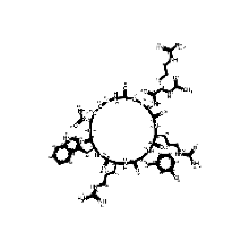 CC(=O)N[C@@H](CCCNC(=N)N)C(=O)N[C@H]1CCC(=O)NCCC[C@@H](C(N)=O)NC(=O)[C@H](Cc2c[nH]c3ccccc23)NC(=O)[C@H](CCCNC(=N)N)NC(=O)[C@@H](Cc2cccc(Cl)c2)NC(=O)[C@H](CCCNC(N)=O)NC1=O